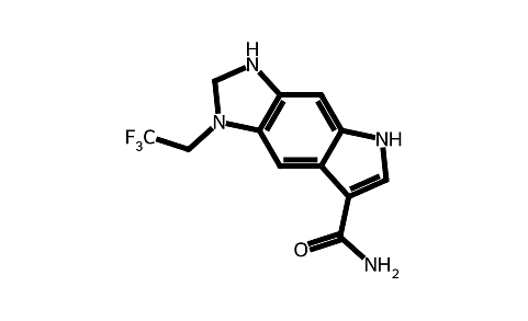 NC(=O)c1c[nH]c2cc3c(cc12)N(CC(F)(F)F)CN3